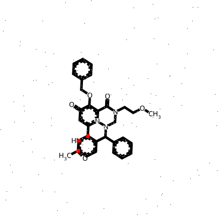 COCCN1CN(C(c2ccccc2)c2ccccc2)n2c(CNC(C)=O)cc(=O)c(OCc3ccccc3)c2C1=O